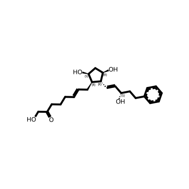 O=C(CO)CCCC=CC[C@@H]1[C@@H](C=C[C@@H](O)CCc2ccccc2)[C@H](O)C[C@@H]1O